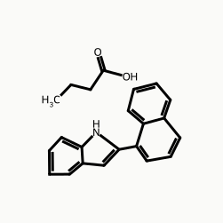 CCCC(=O)O.c1ccc2[nH]c(-c3cccc4ccccc34)cc2c1